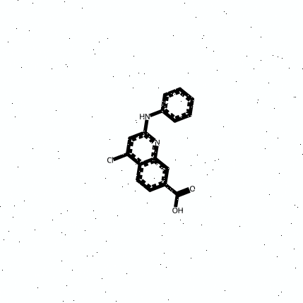 O=C(O)c1ccc2c(Cl)cc(Nc3ccccc3)nc2c1